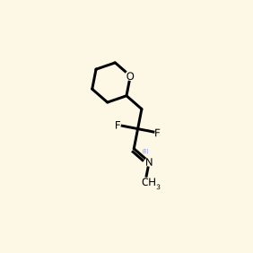 C/N=C/C(F)(F)CC1CCCCO1